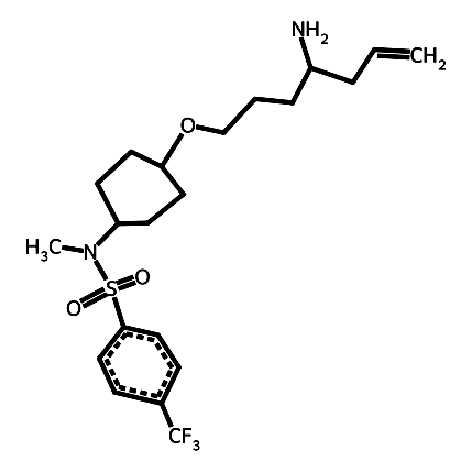 C=CCC(N)CCCOC1CCC(N(C)S(=O)(=O)c2ccc(C(F)(F)F)cc2)CC1